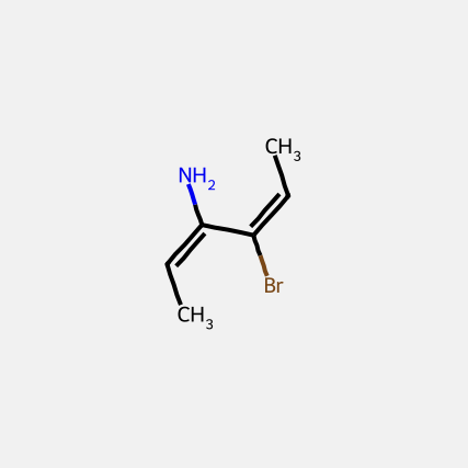 C/C=C(N)\C(Br)=C/C